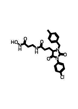 Cc1ccc(CN2C(=O)N(c3ccc(Cl)cc3)C(=O)C2CCC(=O)NCCC(=O)NO)cc1